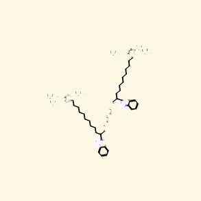 CO[Si](CCCCCCCCCCC(CSSSSSSCC(CCCCCCCCCC[Si](OC)(OC)OC)c1nc2ccccc2s1)c1nc2ccccc2s1)(OC)OC